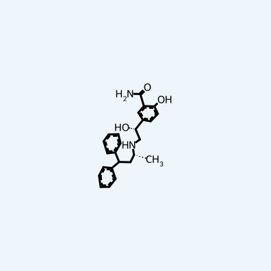 C[C@H](CC(c1ccccc1)c1ccccc1)NC[C@H](O)c1ccc(O)c(C(N)=O)c1